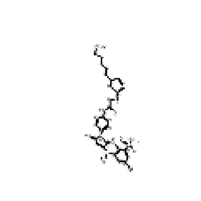 CCCCCCCCCCCCCCCc1cccc(OCC(=O)Nc2ccc(-n3[nH]c(N(C(C)=O)c4cc(CC)cc(S(N)(=O)=O)c4OC)cc3=O)cc2)c1